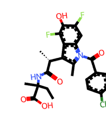 CCC(C)(NC(=O)[C@H](C)c1c(C)n(C(=O)c2ccc(Cl)cc2)c2cc(F)c(O)c(F)c12)C(=O)O